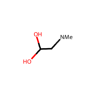 CNCC(O)O